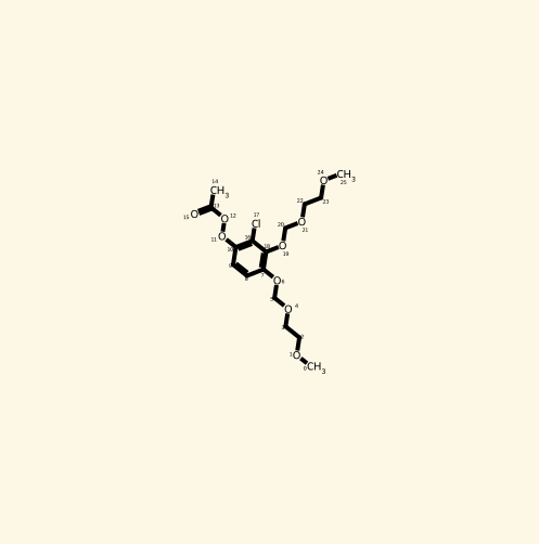 COCCOCOc1ccc(OOC(C)=O)c(Cl)c1OCOCCOC